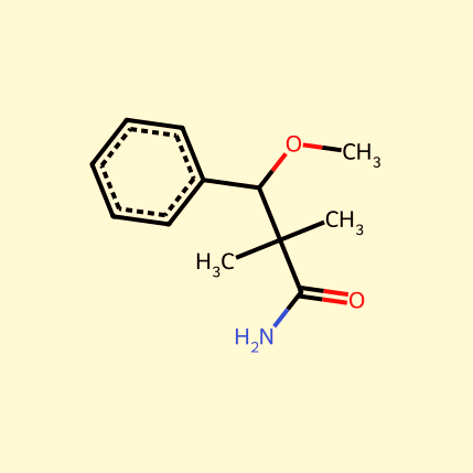 COC(c1ccccc1)C(C)(C)C(N)=O